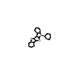 c1ccc(-n2c3ccccc3c3c4sc5ccccc5c4oc32)cc1